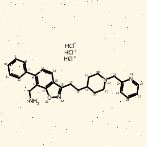 Cl.Cl.Cl.NCc1c(-c2ccccc2)ccc2c(CCC3CCN(Cc4ccccn4)CC3)noc12